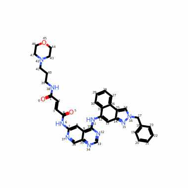 O=C(C=CC(=O)Nc1cc2c(Nc3cc4nn(Cc5ccccc5)cc4c4ccccc34)ncnc2cn1)NCCCN1CCOCC1